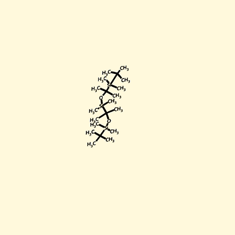 CC(C)(C)[Si](C)(C)OC(C)(C)[Si](C)(C)OC(C)(C)[Si](C)(C)C(C)(C)C